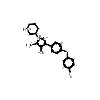 N#Cc1c(-c2ccc(Sc3ccc(Cl)cc3)cc2)nn(C2CCCNC2)c1N